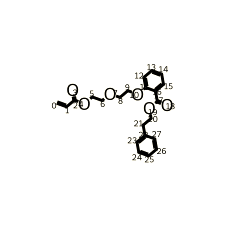 C=CC(=O)OCCOCCOc1ccccc1C(=O)OCCc1ccccc1